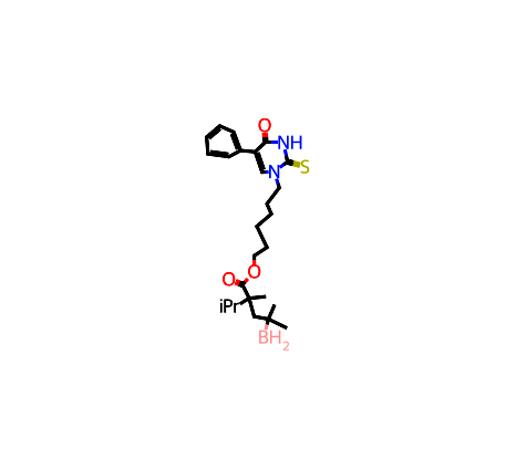 BC(C)(C)CC(C)(C(=O)OCCCCCCn1cc(-c2ccccc2)c(=O)[nH]c1=S)C(C)C